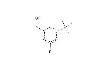 CC(C)(C)c1cc(F)cc(CO)c1